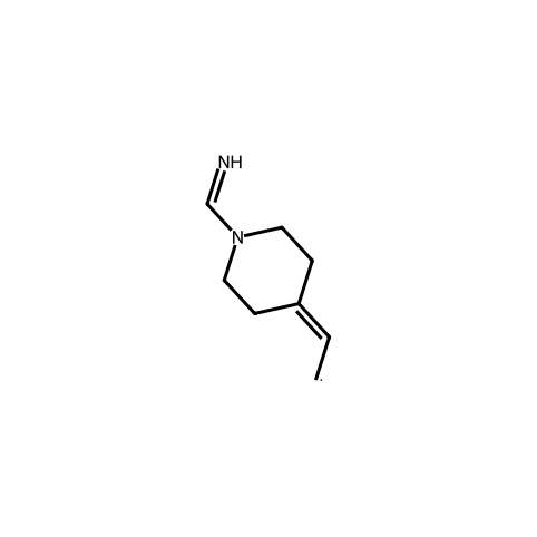 [CH2]C=C1CCN(C=N)CC1